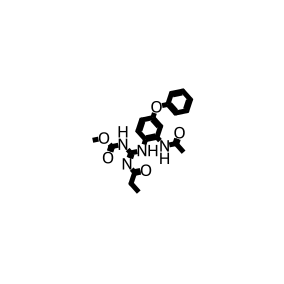 CCC(=O)/N=C(/NC(=O)OC)Nc1ccc(Oc2ccccc2)cc1NC(C)=O